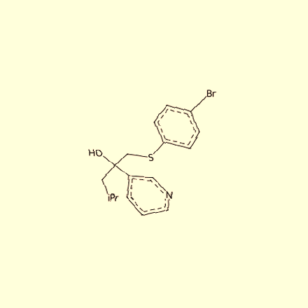 CC(C)CC(O)(CSc1ccc(Br)cc1)c1cccnc1